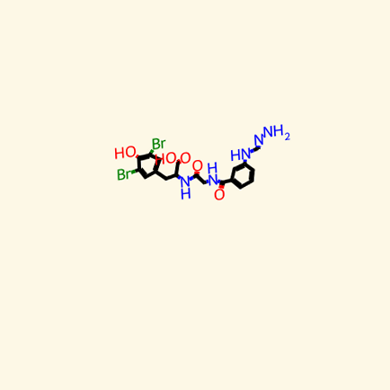 NN=CNc1cccc(C(=O)NCC(=O)NC(Cc2cc(Br)c(O)c(Br)c2)C(=O)O)c1